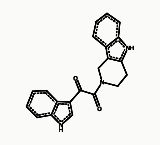 O=C(C(=O)N1CCc2[nH]c3ccccc3c2C1)c1c[nH]c2ccccc12